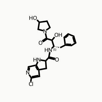 O=C(N[C@@H](Cc1ccccc1)C(O)C(=O)N1CCC(O)C1)C1Cc2cc(Cl)ncc2N1